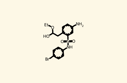 CCOC(O)Cc1ccc(N)cc1S(=O)(=O)Nc1ccc(Br)cc1